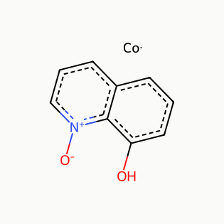 [Co].[O-][n+]1cccc2cccc(O)c21